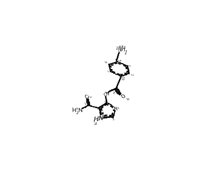 NC(=O)c1[nH]cnc1OC(=O)c1ccc(N)cc1